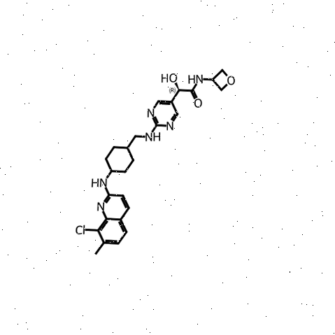 Cc1ccc2ccc(NC3CCC(CNc4ncc([C@@H](O)C(=O)NC5COC5)cn4)CC3)nc2c1Cl